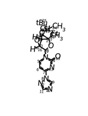 CC[C@]12O[C@@H](n3ccc(-n4cncn4)nc3=O)[C@H](O[C@@H]1C)[C@@H]2O[Si](C)(C)C(C)(C)C